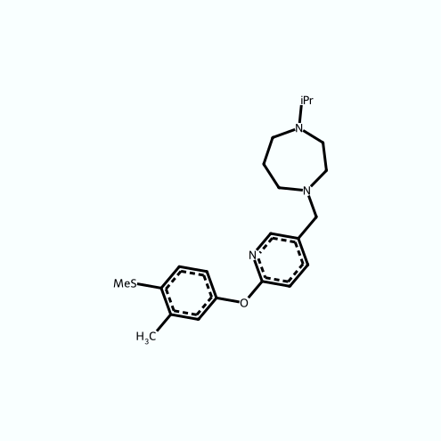 CSc1ccc(Oc2ccc(CN3CCCN(C(C)C)CC3)cn2)cc1C